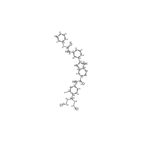 Cc1cc(NC(=O)c2ccc3[nH]c(-c4cccc(NC(=O)Cc5cccnc5)c4)nc3c2)ccc1N(CCCl)CCCl